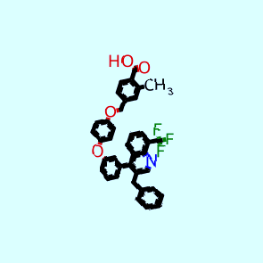 Cc1cc(COc2ccc(Oc3cccc(-c4c(Cc5ccccc5)cnc5c(C(F)(F)F)cccc45)c3)cc2)ccc1C(=O)O